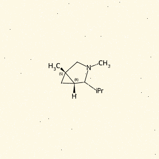 CC(C)C1[C@@H]2C[C@]2(C)CN1C